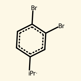 C[C](C)c1ccc(Br)c(Br)c1